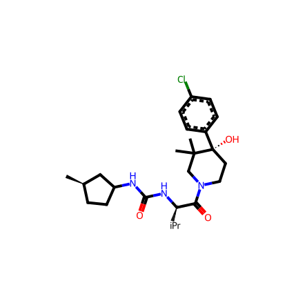 CC(C)[C@@H](NC(=O)NC1CC[C@@H](C)C1)C(=O)N1CC[C@](O)(c2ccc(Cl)cc2)C(C)(C)C1